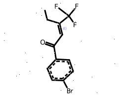 CC/C(=C\C(=O)c1ccc(Br)cc1)C(F)(F)F